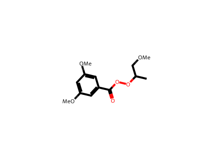 COC[C](C)OOC(=O)c1cc(OC)cc(OC)c1